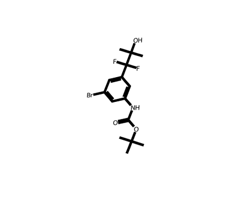 CC(C)(C)OC(=O)Nc1cc(Br)cc(C(F)(F)C(C)(C)O)c1